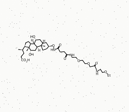 CCOCCNC(=O)COCCOCCNC(=O)CCC(=O)NO[C@H]1CC[C@@]2(C)[C@@H](C1)C[C@@H](O)[C@H]1C3CC[C@H]([C@H](C)CCC(=O)O)[C@@]3(C)[C@@H](O)C[C@@H]12